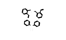 C=Cc1ccccc1COCc1ccccc1C=C.c1ccc(Pc2ccccc2)cc1